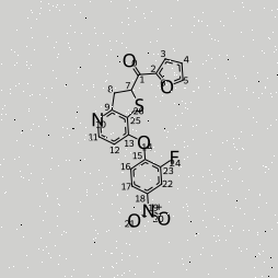 O=C(c1ccco1)C1Cc2nccc(Oc3ccc([N+](=O)[O-])cc3F)c2S1